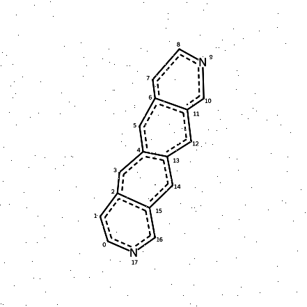 c1cc2cc3cc4ccncc4cc3cc2cn1